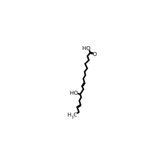 CC/C=C/CCC(O)C/C=C/CCCCCCCC(=O)O